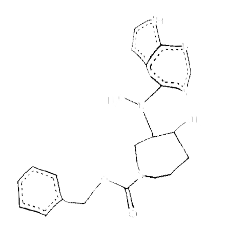 CC1CCN(C(=O)OCc2ccccc2)CC1N(C)c1ncnc2[nH]ccc12